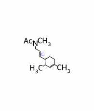 CC(=O)N(C)C/C=C/C1CCC(C)=CC1C